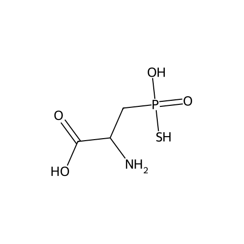 NC(CP(=O)(O)S)C(=O)O